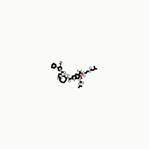 CC(C)CC(=O)SCCOP(=O)(OCOC(=O)OC(C)C)C(F)(F)c1ccc2sc(C(=O)NC3CCCC[C@H]4CC[C@@H](C(=O)N5C[C@H](c6ccccc6)[C@@H](C#N)C5)N4C3=O)cc2c1